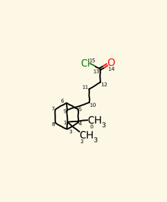 CC1(C)C2CCC(CC2)C1CCCC(=O)Cl